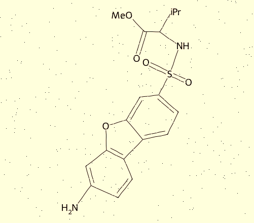 COC(=O)C(NS(=O)(=O)c1ccc2c(c1)oc1cc(N)ccc12)C(C)C